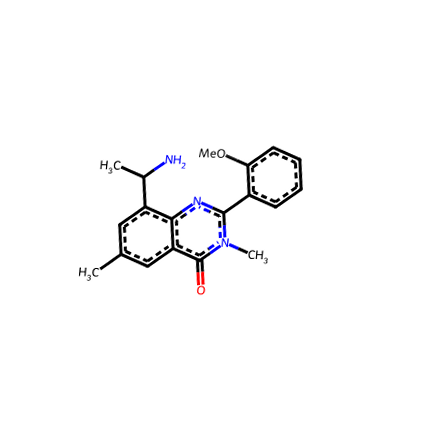 COc1ccccc1-c1nc2c(C(C)N)cc(C)cc2c(=O)n1C